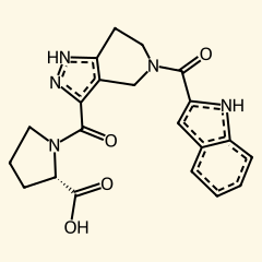 O=C(O)[C@@H]1CCCN1C(=O)c1n[nH]c2c1CN(C(=O)c1cc3ccccc3[nH]1)CC2